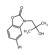 CC(C)c1ccc2oc(=O)n(CC(C)(C)O)c2c1